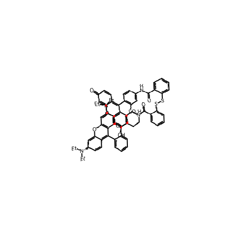 CCN(CC)c1ccc2c(-c3ccccc3C(=O)N3CCN(C(=O)c4ccccc4SSc4ccccc4C(=O)Nc4ccc(-c5c6ccc(=O)cc-6oc6cc(O)ccc56)c(C(=O)O)c4)CC3)c3ccc(=[N+](CC)CC)cc-3oc2c1